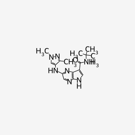 Cc1nn(C)cc1Nc1cnc2[nH]cc(C(=O)NC(C)(C)C)c2n1